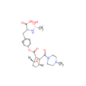 CB(O)NC(Cc1ccc(OC(=O)C2C(C(=O)N3CCN(C)CC3)[C@@H]3C=C[C@H]2O3)cc1)C(=O)O